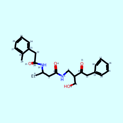 CCC(CC(=O)NCC(CO)C(=O)Cc1ccccc1)NC(=O)Cc1ccccc1C